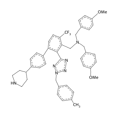 COc1ccc(CN(Cc2ccc(OC)cc2)Cc2c(C(F)(F)F)ccc(-c3ccc(C4CCNCC4)cc3)c2-c2nnn(Cc3ccc(C)cc3)n2)cc1